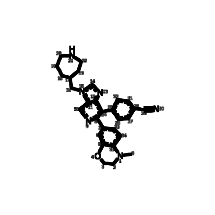 CN1CCOc2cc(-c3ncc4c(ncn4CC4CCCNCC4)c3-c3ccc(C#N)cc3)ccc21